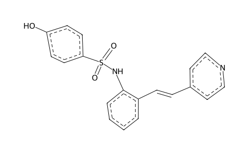 O=S(=O)(Nc1ccccc1/C=C/c1ccncc1)c1ccc(O)cc1